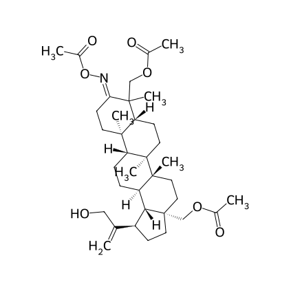 C=C(CO)[C@@H]1CC[C@]2(COC(C)=O)CC[C@]3(C)[C@H](CC[C@@H]4[C@@]5(C)CCC(=NOC(C)=O)C(C)(COC(C)=O)[C@@H]5CC[C@]43C)[C@@H]12